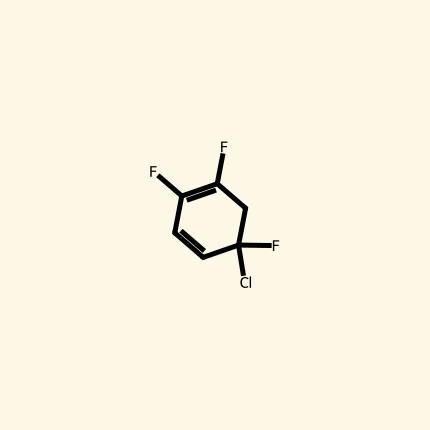 FC1=C(F)CC(F)(Cl)C=C1